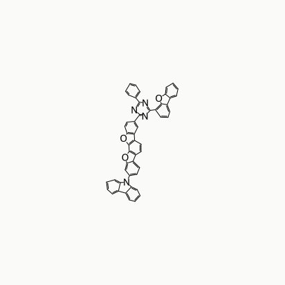 c1ccc(-c2nc(-c3ccc4oc5c(ccc6c7ccc(-n8c9ccccc9c9ccccc98)cc7oc65)c4c3)nc(-c3cccc4c3oc3ccccc34)n2)cc1